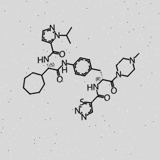 CC(C)n1nccc1C(=O)N[C@H](C(=O)Nc1ccc(C[C@@H](NC(=O)c2cnns2)C(=O)N2CCN(C)CC2)cc1)C1CCCCCC1